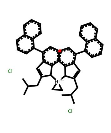 CC(C)CC1=Cc2c(-c3cccc4ccccc34)cccc2[CH]1[Hf+2]1([CH]2C(CC(C)C)=Cc3c(-c4cccc5ccccc45)cccc32)[CH2][CH2]1.[Cl-].[Cl-]